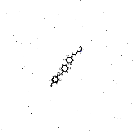 C/C=C\CCC[C@H]1CC[C@H](C2CCC(COc3ccc(F)cc3)CC2)CC1